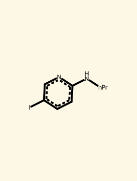 CCCNc1ccc(I)cn1